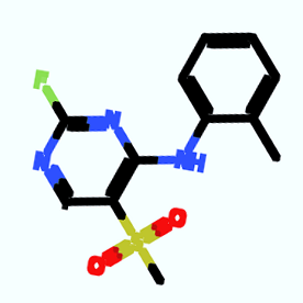 Cc1ccccc1Nc1nc(F)n[c]c1S(C)(=O)=O